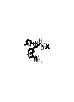 Cc1cccc(-n2nc(NC(=O)OC(C)(C)C)cc2-c2ccn3ncc(C(N)=O)c3c2)n1